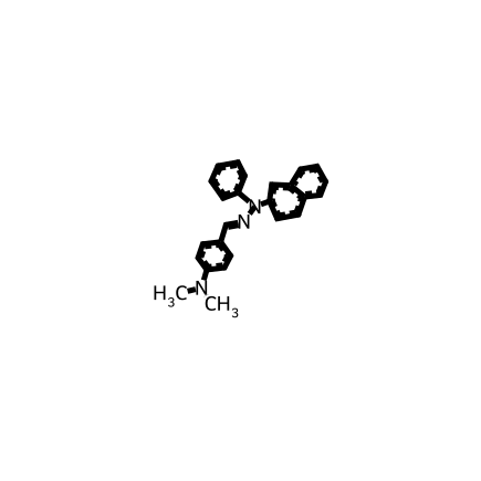 CN(C)c1ccc(C=NN(c2ccccc2)c2ccc3ccccc3c2)cc1